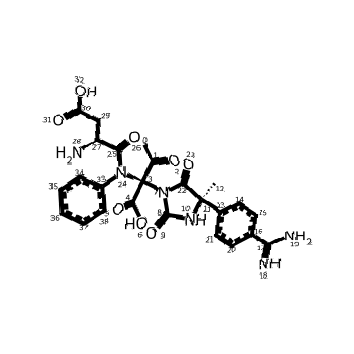 CC(=O)[C@@](C(=O)O)(N1C(=O)N[C@](C)(c2ccc(C(=N)N)cc2)C1=O)N(C(=O)[C@@H](N)CC(=O)O)c1ccccc1